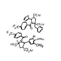 COc1cc(C2C(C(=O)O)CC(C)(C(=O)O)N2C(=O)c2ccc(C(F)(F)F)cc2)cc(Br)c1OC.O=C(O)C1CC(Cc2ccccc2)(C(=O)O)N(C(=O)c2ccc(C(F)(F)F)cc2)C1c1cccs1